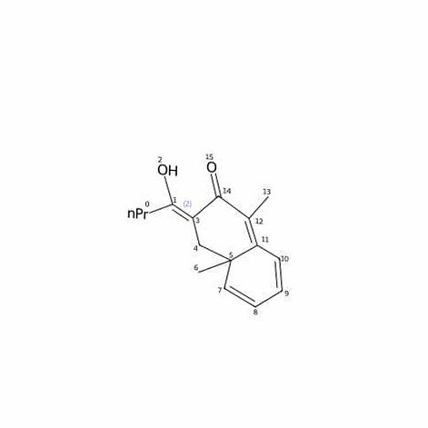 CCC/C(O)=C1\CC2(C)C=CC=CC2=C(C)C1=O